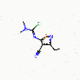 CCc1nsc(N=C(Cl)N(C)C)c1C#N